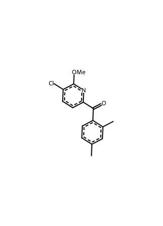 COc1nc(C(=O)c2ccc(C)cc2C)ccc1Cl